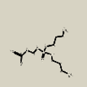 CCCCOP(=O)(OCCCC)OCOC(=O)Cl